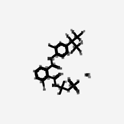 Cc1cc(C(F)(C(F)(F)F)C(F)(F)F)ccc1NC(=O)c1cccc(I)c1C(=O)NC(C)(C)CS(C)(=O)=O.Cl